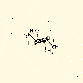 CCCCCCCCCCCCc1cc(C)sc1-c1cc(CCCCCCCCCCCC)c(-c2nc3cc4sc(-c5sc(-c6sc(C)cc6CCCCCCCCCCCC)cc5CCCCCCCCCCCC)nc4cc3s2)s1